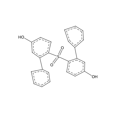 O=S(=O)(c1ccc(O)cc1-c1ccccc1)c1ccc(O)cc1-c1ccccc1